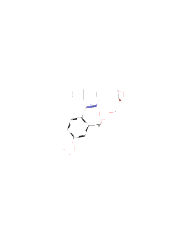 CCOc1ccc(/C=C/C=O)c([C@@H](C)OC[C@H]2CO2)c1